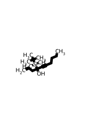 C=CCC(O)(C#CCCCC)[Si](C)(C)C(C)(C)C